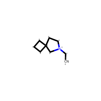 N#CCN1CCC2(CCC2)C1